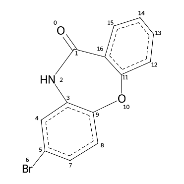 O=C1Nc2cc(Br)ccc2Oc2ccccc21